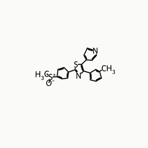 Cc1cccc(-c2nc(-c3ccc([S+](C)[O-])cc3)sc2-c2ccncc2)c1